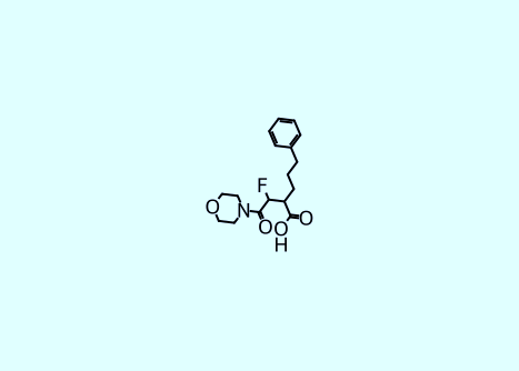 O=C(O)C(CCCc1ccccc1)C(F)C(=O)N1CCOCC1